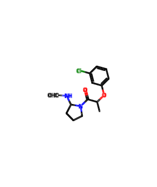 CC(Oc1cccc(Cl)c1)C(=O)N1CCCC1NC=O